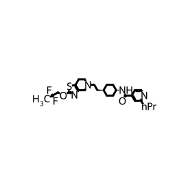 CCCc1cc(C(=O)N[C@H]2CC[C@H](CCN3CCc4sc(OCC(C)(F)F)nc4C3)CC2)ccn1